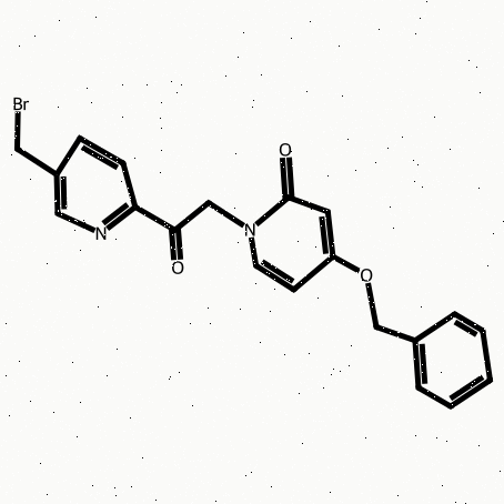 O=C(Cn1ccc(OCc2ccccc2)cc1=O)c1ccc(CBr)cn1